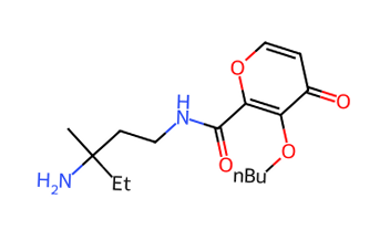 CCCCOc1c(C(=O)NCCC(C)(N)CC)occc1=O